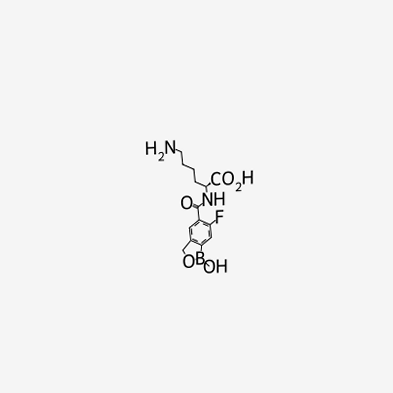 NCCCC[C@H](NC(=O)c1cc2c(cc1F)B(O)OC2)C(=O)O